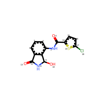 O=C(Nc1cccc2c1C(O)NC2=O)c1ccc(Cl)s1